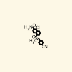 CN(Cc1ccc(C#N)cc1)C(=O)c1cccc2c(Cl)c(C(N)=O)ccc12